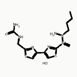 C=[N+](c1nc(-c2csc(CNC(N)=O)n2)cs1)N(N)CCCC.Cl